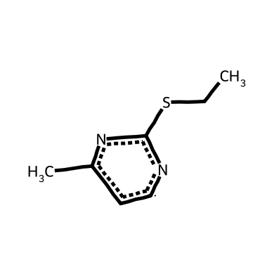 CCSc1n[c]cc(C)n1